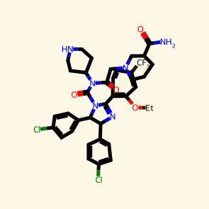 CCOc1cc(C(F)(F)F)ccc1C1=NC(c2ccc(Cl)cc2)C(c2ccc(Cl)cc2)N1C(=O)N(C(=O)CN1CCCC(C(N)=O)C1)C1CCNCC1